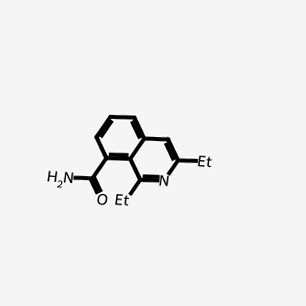 CCc1cc2cccc(C(N)=O)c2c(CC)n1